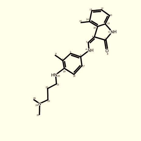 Cc1cc(N/C=C2\C(=O)Nc3cccc(C)c32)ccc1NCCCN(C)C